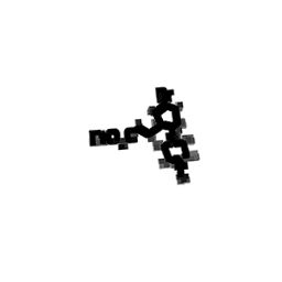 CCOC(=O)C=Cc1cc(Br)ccc1N1CCN(C)CC1